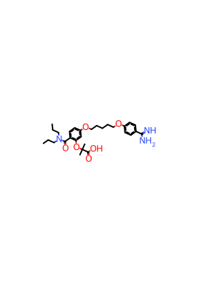 CCCN(CCC)C(=O)c1ccc(OCCCCCOc2ccc(C(=N)N)cc2)cc1OC(C)(C)C(=O)O